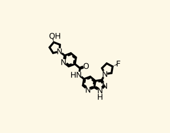 O=C(Nc1cnc2[nH]nc(N3CC[C@H](F)C3)c2c1)c1ccc(N2CC[C@H](O)C2)nc1